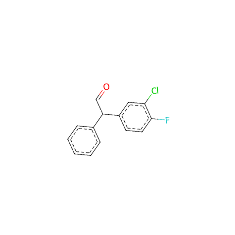 O=CC(c1ccccc1)c1ccc(F)c(Cl)c1